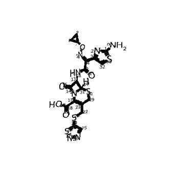 Nc1nc(C(=NOC2CC2)C(=O)N[C@@H]2C(=O)N3C(C(=O)O)=C(CSc4cnns4)CS[C@@H]23)cs1